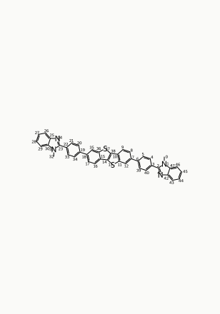 Cn1c(-c2ccc(-c3ccc4c(c3)sc3c5ccc(-c6ccc(-c7nc8ccccc8n7C)cc6)cc5sc43)cc2)nc2ccccc21